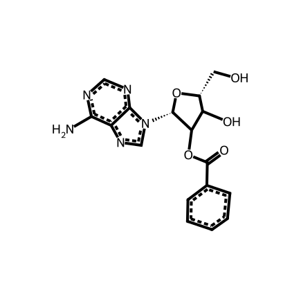 Nc1ncnc2c1ncn2[C@@H]1O[C@H](CO)C(O)C1OC(=O)c1ccccc1